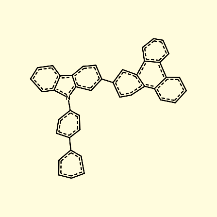 c1ccc(-c2ccc(-n3c4ccccc4c4ccc(-c5ccc6c7ccccc7c7ccccc7c6c5)cc43)cc2)cc1